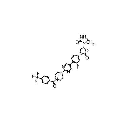 C[C@H](C(N)=O)C1CN(c2ccc(-c3cnc(N4CCN(C(=O)c5ccc(C(F)(F)F)cc5)CC4)nc3)c(F)c2)C(=O)O1